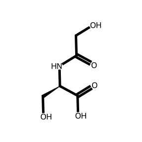 O=C(CO)N[C@H](CO)C(=O)O